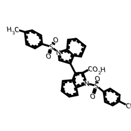 Cc1ccc(S(=O)(=O)n2cc(-c3c(C(=O)O)n(S(=O)(=O)c4ccc(C)cc4)c4ccccc34)c3ccccc32)cc1